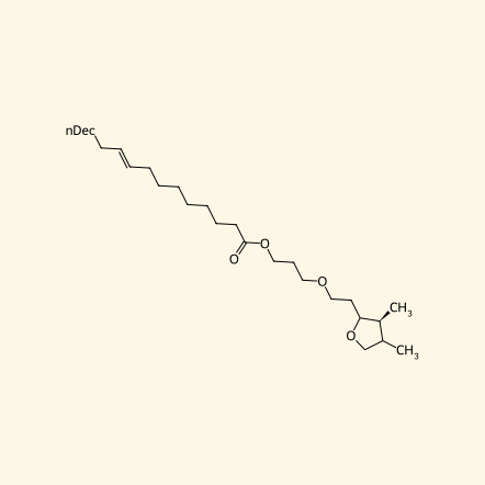 CCCCCCCCCCC/C=C/CCCCCCCC(=O)OCCCOCCC1OCC(C)[C@@H]1C